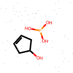 OC1CC=CC1.OP(O)O